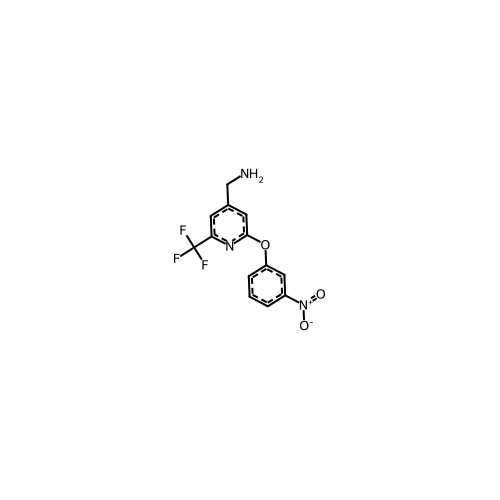 NCc1cc(Oc2cccc([N+](=O)[O-])c2)nc(C(F)(F)F)c1